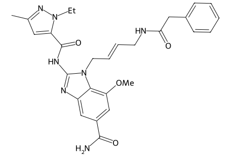 CCn1nc(C)cc1C(=O)Nc1nc2cc(C(N)=O)cc(OC)c2n1CC=CCNC(=O)Cc1ccccc1